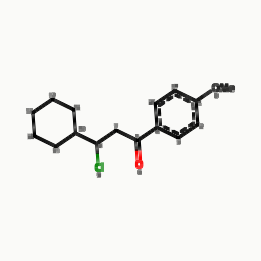 COc1ccc(C(=O)CC(Cl)C2CCCCC2)cc1